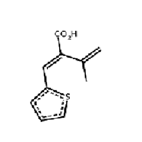 C=C(C)C(=Cc1cccs1)C(=O)O